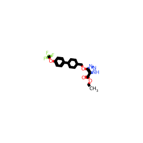 CCOC(=O)c1[nH]nnc1OCC1CCC(c2ccc(OC(F)(F)F)cc2)CC1